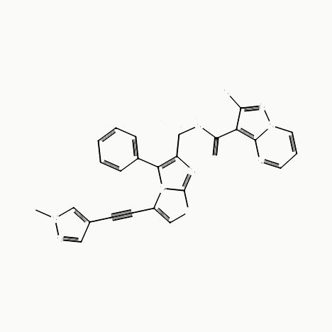 C[C@H](NC(=O)c1c(N)nn2cccnc12)c1nc2scc(C#Cc3cnn(C)c3)n2c1-c1ccccc1